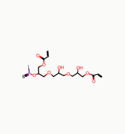 B#P(I)OC(COCC(O)COCC(O)COC(=O)C=C)COC(=O)C=C